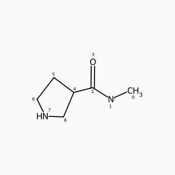 C[N]C(=O)C1CCNC1